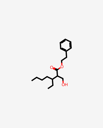 CCCCC(CC)C(CO)C(=O)OCCc1ccccc1